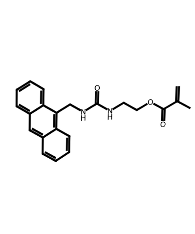 C=C(C)C(=O)OCCNC(=O)NCc1c2ccccc2cc2ccccc12